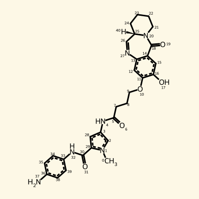 Cn1cc(NC(=O)CCCOc2cc3c(cc2O)C(=O)N2CCCC[C@H]2C=N3)cc1C(=O)Nc1ccc(N)cc1